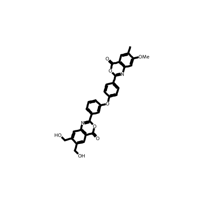 COc1cc2nc(-c3ccc(Oc4cccc(-c5nc6cc(CO)c(CO)cc6c(=O)o5)c4)cc3)oc(=O)c2cc1C